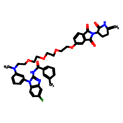 C=C1CCC(N2C(=O)c3ccc(OCCOCCOCCOCCN(C)c4cccc(-n5c(NC(=O)c6cccc(C(F)(F)F)c6)nc6cc(F)ccc65)c4)cc3C2=O)C(=O)N1